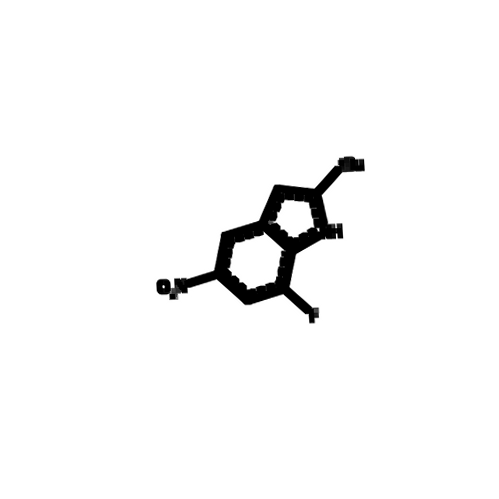 CC(C)(C)c1cc2cc([N+](=O)[O-])cc(F)c2[nH]1